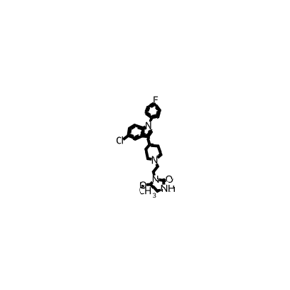 COC1CNC(=O)N1CCN1CCC(c2cn(-c3ccc(F)cc3)c3ccc(Cl)cc23)CC1